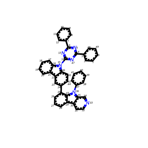 c1ccc(-c2nc(-c3ccccc3)nc(-n3c4ccccc4c4cc(-c5cccc6c7ccncc7n(-c7ccccc7)c56)ccc43)n2)cc1